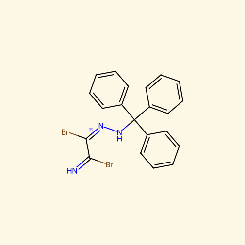 N=C(Br)/C(Br)=N\NC(c1ccccc1)(c1ccccc1)c1ccccc1